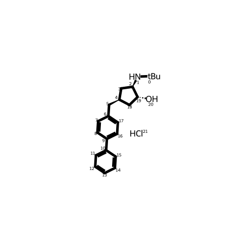 CC(C)(C)N[C@@H]1C[C@H](Cc2ccc(-c3ccccc3)cc2)C[C@H]1O.Cl